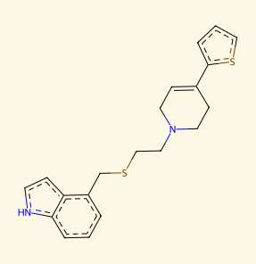 C1=C(c2cccs2)CCN(CCSCc2cccc3[nH]ccc23)C1